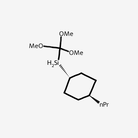 CCC[C@H]1CC[C@H]([SiH2]C(OC)(OC)OC)CC1